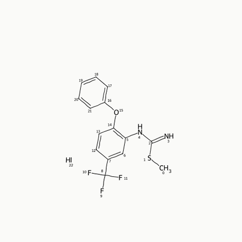 CSC(=N)Nc1cc(C(F)(F)F)ccc1Oc1ccccc1.I